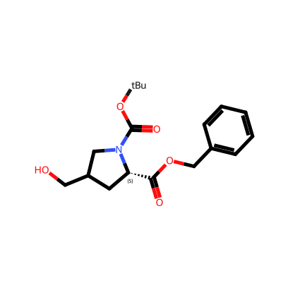 CC(C)(C)OC(=O)N1CC(CO)C[C@H]1C(=O)OCc1ccccc1